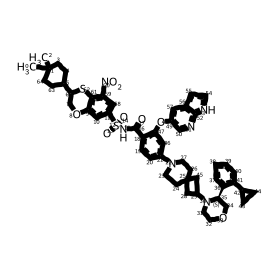 CC1(C)CCC(C2COc3cc(S(=O)(=O)NC(=O)c4ccc(N5CCC6(CC5)CC(N5CCOC[C@@H]5c5ccccc5C5CC5)C6)cc4Oc4cnc5[nH]ccc5c4)cc([N+](=O)[O-])c3S2)CC1